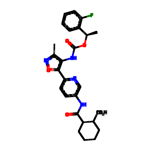 Cc1noc(-c2ccc(NC(=O)C3CCCCC3C(=O)O)cn2)c1NC(=O)O[C@H](C)c1ccccc1F